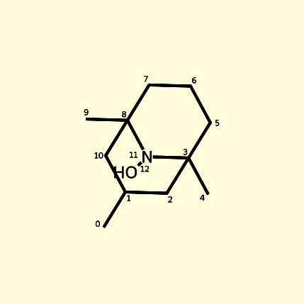 CC1CC2(C)CCCC(C)(C1)N2O